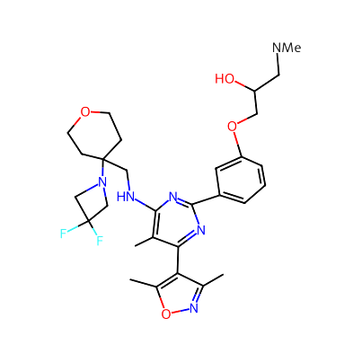 CNCC(O)COc1cccc(-c2nc(NCC3(N4CC(F)(F)C4)CCOCC3)c(C)c(-c3c(C)noc3C)n2)c1